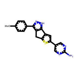 COc1ccc(-c2n[nH]c3c2Cc2sc(-c4cnc(N)nc4)cc2-3)cc1